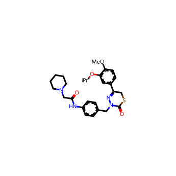 COc1ccc(C2=NN(Cc3ccc(NC(=O)CN4[CH]CCCC4)cc3)C(=O)SC2)cc1OC(C)C